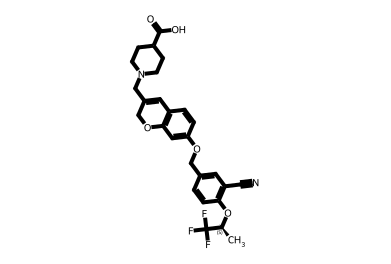 C[C@H](Oc1ccc(COc2ccc3c(c2)OCC(CN2CCC(C(=O)O)CC2)=C3)cc1C#N)C(F)(F)F